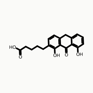 O=C(O)CCCCc1ccc2c(c1O)C(=O)c1c(O)cccc1C2